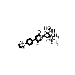 CC(CCn1cc(F)c(-c2ccc(-n3nccn3)cc2)cc1=O)(C(=O)NO)S(C)(=O)=O